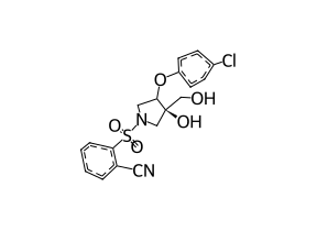 N#Cc1ccccc1S(=O)(=O)N1CC(Oc2ccc(Cl)cc2)[C@](O)(CO)C1